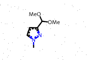 COC(OC)c1[c]cn(C)n1